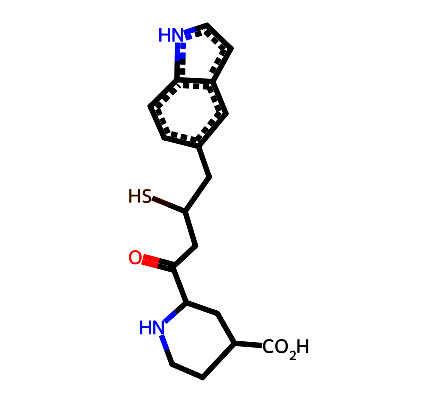 O=C(O)C1CCNC(C(=O)CC(S)Cc2ccc3[nH]ccc3c2)C1